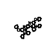 CN1c2cc3c(cc2B2c4ccccc4N(c4ccccc4)c4cc(Oc5ccccc5)cc1c42)B1c2ccccc2N(c2ccccc2)c2cc(Oc4ccccc4)cc(c21)N3C